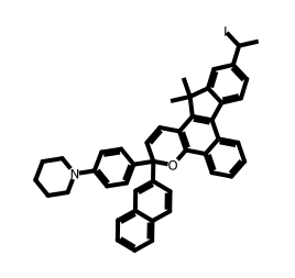 CC(I)c1ccc2c(c1)C(C)(C)c1c3c(c4ccccc4c1-2)OC(c1ccc(N2CCCCC2)cc1)(c1ccc2ccccc2c1)C=C3